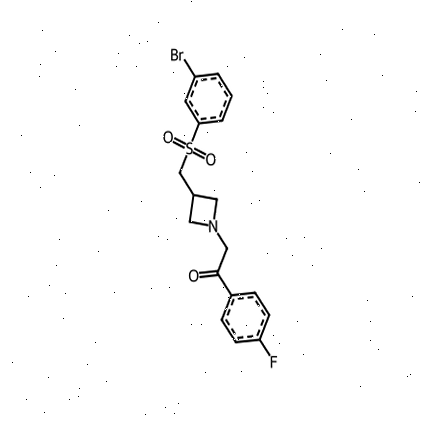 O=C(CN1CC(CS(=O)(=O)c2cccc(Br)c2)C1)c1ccc(F)cc1